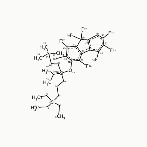 CC[Si](CC)(CC)CCC[Si](CC[Si](C)(C)C)(Oc1c(F)c(F)c2c(c1F)-c1c([c]c(F)c(F)c1F)C2(F)F)C(C)C